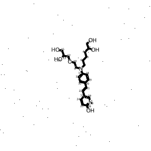 OCC(O)CCCCN(CCOCC(O)CO)c1ccc(/C=C/c2ccc(O)nc2)cc1